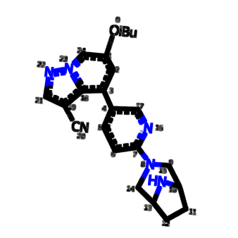 CC(C)COc1cc(-c2ccc(N3CC4CCC(C3)N4)nc2)c2c(C#N)cnn2c1